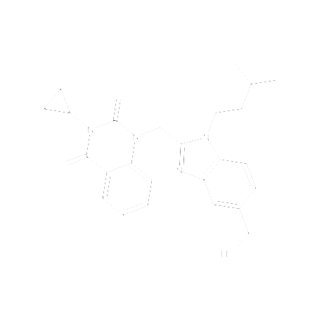 CC(C)CCn1c(Cn2c(=O)n(C3CC3)c(=O)c3ccccc32)nc2cc(CO)ccc21